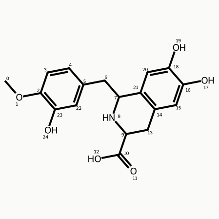 COc1ccc(CC2NC(C(=O)O)Cc3cc(O)c(O)cc32)cc1O